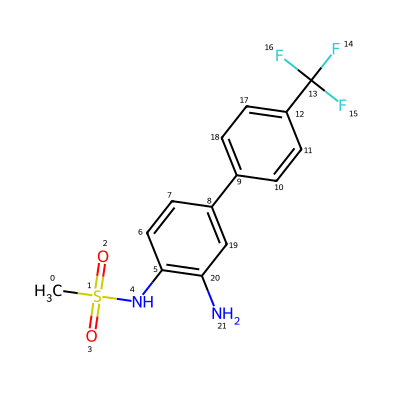 CS(=O)(=O)Nc1ccc(-c2ccc(C(F)(F)F)cc2)cc1N